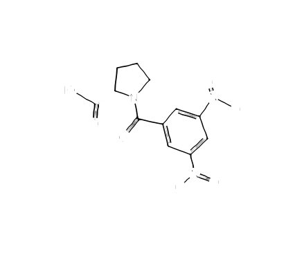 O=C(O)[C@@H]1CCCN1C(=O)c1cc([N+](=O)[O-])cc([N+](=O)[O-])c1